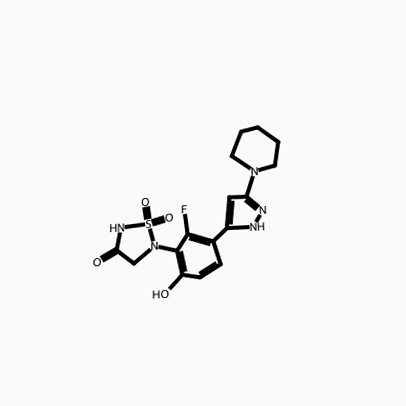 O=C1CN(c2c(O)ccc(-c3cc(N4CCCCC4)n[nH]3)c2F)S(=O)(=O)N1